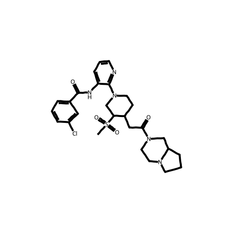 CS(=O)(=O)C1CN(c2ncccc2NC(=O)c2cccc(Cl)c2)CCC1CC(=O)N1CCN2CCCC2C1